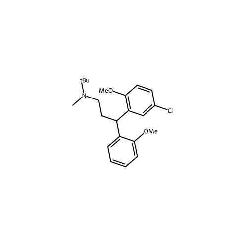 COc1ccccc1C(CCN(C)C(C)(C)C)c1cc(Cl)ccc1OC